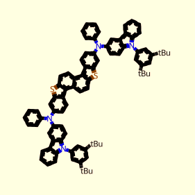 CC(C)(C)c1cc(-n2c3ccccc3c3cc(N(c4ccccc4)c4ccc5c(c4)sc4ccc6c(ccc7sc8cc(N(c9ccccc9)c9ccc%10c(c9)c9ccccc9n%10-c9cc(C(C)(C)C)cc(C(C)(C)C)c9)ccc8c76)c45)ccc32)cc(C(C)(C)C)c1